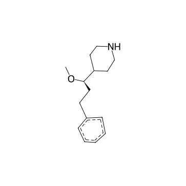 CO[C@H](CCc1ccccc1)C1CCNCC1